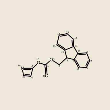 O=C(OCC1c2ccccc2-c2ccccc21)OC1=NC=C1